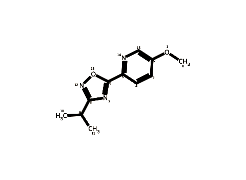 COc1ccc(-c2nc(C(C)C)no2)nc1